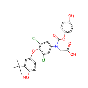 CC(C)(C)c1cc(Oc2c(Cl)cc(N(CC(=O)O)C(=O)Oc3ccc(O)cc3)cc2Cl)ccc1O